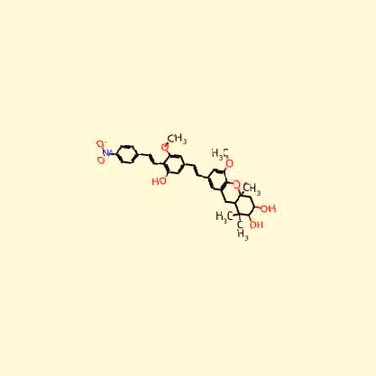 COc1cc(/C=C/c2cc3c(c(OC)c2)O[C@]2(C)C[C@@H](O)[C@@H](O)C(C)(C)C2C3)cc(O)c1/C=C/c1ccc([N+](=O)[O-])cc1